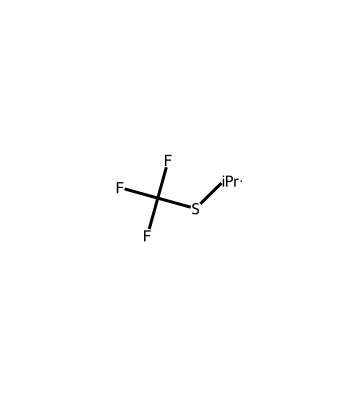 C[C](C)SC(F)(F)F